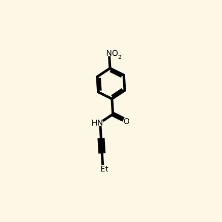 CCC#CNC(=O)c1ccc([N+](=O)[O-])cc1